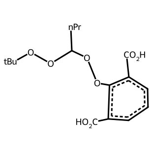 CCCC(OOc1c(C(=O)O)cccc1C(=O)O)OOC(C)(C)C